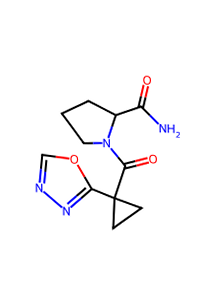 NC(=O)C1CCCN1C(=O)C1(c2nnco2)CC1